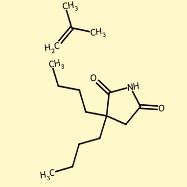 C=C(C)C.CCCCC1(CCCC)CC(=O)NC1=O